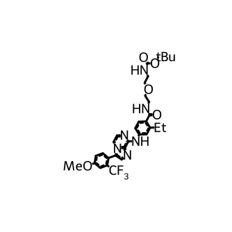 CCc1cc(Nc2nccn3c(-c4ccc(OC)cc4C(F)(F)F)cnc23)ccc1C(=O)NCCOCCNC(=O)OC(C)(C)C